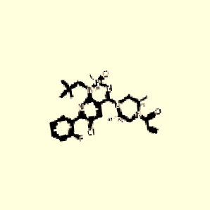 C=CC(=O)N1C[C@H](C)N(C2=N[P@](C)(=O)N(CC(C)(C)C)c3nc(-c4ccccc4F)c(Cl)cc32)C[C@H]1C